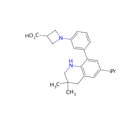 CC(C)c1cc2c(c(-c3cccc(N4CC(C(=O)O)C4)c3)c1)NCC(C)(C)C2